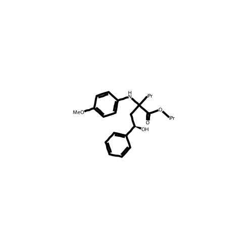 COc1ccc(NC(C[C@@H](O)c2ccccc2)(C(=O)OC(C)C)C(C)C)cc1